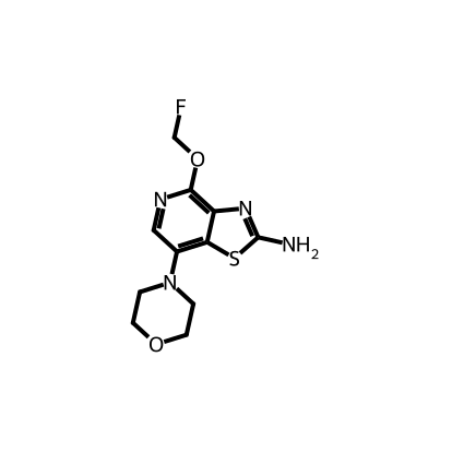 Nc1nc2c(OCF)ncc(N3CCOCC3)c2s1